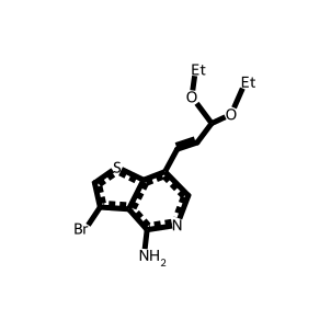 CCOC(C=Cc1cnc(N)c2c(Br)csc12)OCC